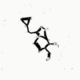 Cc1c(C=O)ccn2c(CC3CC3)nnc12